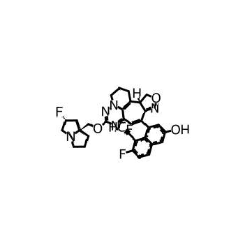 C#Cc1c(F)ccc2cc(O)cc(C3=C(F)C4=NC(OC[C@@]56CCCN5C[C@H](F)C6)=NN5CCCC(=C45)[C@@H]4CON=C34)c12